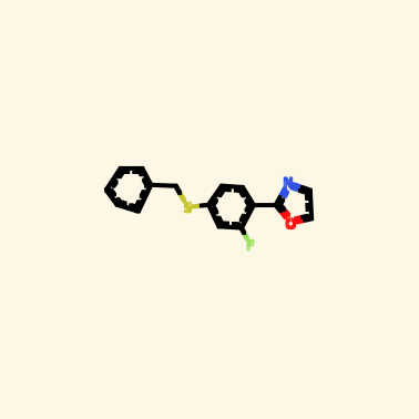 Fc1cc(SCc2ccccc2)ccc1-c1ncco1